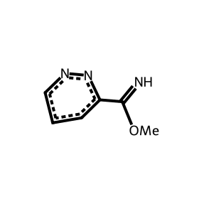 COC(=N)c1cccnn1